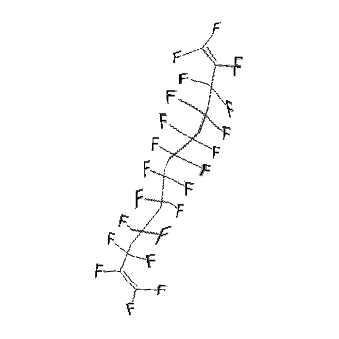 FC(F)=C(F)C(F)(F)C(F)(F)C(F)(F)C(F)(F)C(F)(F)C(F)(F)C(F)(F)C(F)(F)C(F)=C(F)F